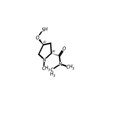 CN(C)C(=O)[C@H]1C[C@H](OS)CN1C